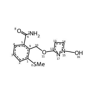 CSc1cccc(C(N)=O)c1COc1ccn(O)n1